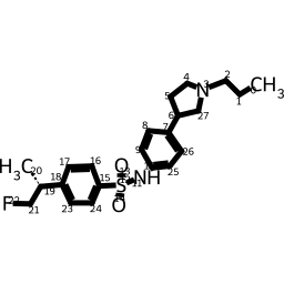 CCCN1CCC(c2ccc(NS(=O)(=O)c3ccc([C@@H](C)CF)cc3)cc2)C1